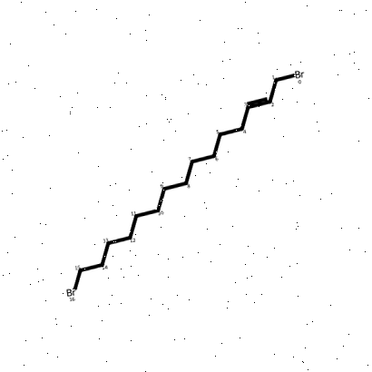 BrCC=CCCCCCCCCCCCCBr